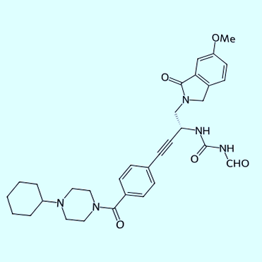 COc1ccc2c(c1)C(=O)N(C[C@@H](C#Cc1ccc(C(=O)N3CCN(C4CCCCC4)CC3)cc1)NC(=O)NC=O)C2